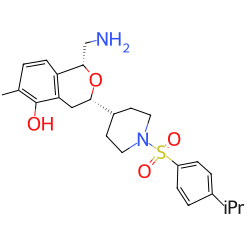 Cc1ccc2c(c1O)C[C@@H](C1CCN(S(=O)(=O)c3ccc(C(C)C)cc3)CC1)O[C@H]2CN